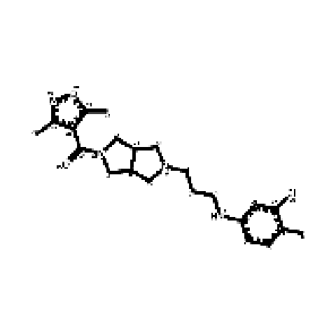 Cc1ccc(NCCCN2CC3CN(C(=O)c4c(C)noc4C)CC3C2)cc1Cl